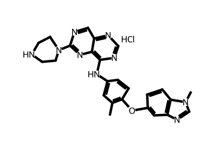 Cc1cc(Nc2ncnc3cnc(N4CCNCC4)nc23)ccc1Oc1ccc2c(c1)ncn2C.Cl